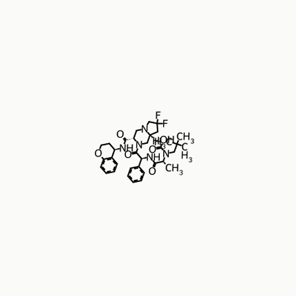 C[C@@H](C(=O)N[C@H](C(=O)N1C[C@H]2CC(F)(F)CN2C[C@H]1C(=O)N[C@@H]1CCOc2ccccc21)c1ccccc1)N(CC(C)(C)C)C(=O)O